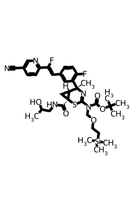 CC(O)CNC(=O)[C@]12C[C@H]1[C@@](C)(c1cc(/C=C(\F)c3ccc(C#N)cn3)ccc1F)N=C(N(COCC[Si](C)(C)C)C(=O)OC(C)(C)C)S2